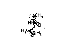 COc1ccc(S(=O)(=O)Nc2cc(C=Cc3cc(OC)c(OC)c(OC)c3)cc(OC)c2O)cc1Cl